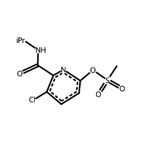 CC(C)NC(=O)c1nc(OS(C)(=O)=O)ccc1Cl